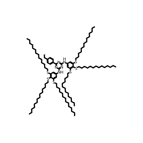 [CH2]Cc1ccc(-c2nc(Nc3cc(SCCCCCCCCCCCCCC)c(SCCCCCCCCCCCCCC)c(SCCCCCCCCCCCCCC)c3)nc(Nc3cc(SCCCCCCCCCCCCCC)c(SCCCCCCCCCCCCCC)c(SCCCCCCCCCCCCCC)c3)n2)cc1